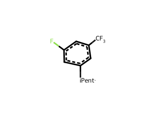 CCC[C](C)c1cc(F)cc(C(F)(F)F)c1